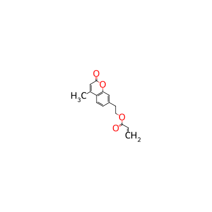 C=CC(=O)OCCc1ccc2c(C)cc(=O)oc2c1